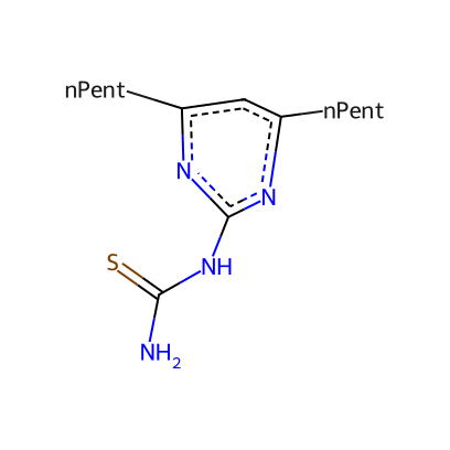 CCCCCc1cc(CCCCC)nc(NC(N)=S)n1